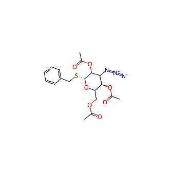 CC(=O)OCC1O[C@H](SCc2ccccc2)C(OC(C)=O)C(N=[N+]=[N-])[C@H]1OC(C)=O